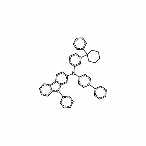 c1ccc(-c2ccc(N(c3cccc(C4(c5ccccc5)CCCCC4)c3)c3ccc4c5ccccc5n(-c5ccccc5)c4c3)cc2)cc1